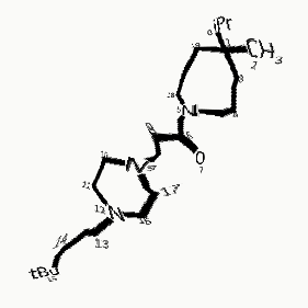 CC(C)C1(C)CCN(C(=O)CN2CCN(CCC(C)(C)C)CC2)CC1